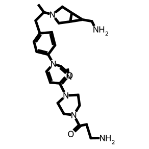 C/N=C(\C=C/N(C=O)c1ccc(CC(C)N2CC3C(CN)C3C2)cc1)N1CCN(C(=O)CCN)CC1